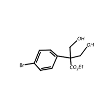 CCOC(=O)C(CO)(CO)c1ccc(Br)cc1